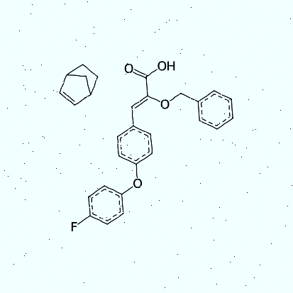 C1=CC2CCC1C2.O=C(O)C(=Cc1ccc(Oc2ccc(F)cc2)cc1)OCc1ccccc1